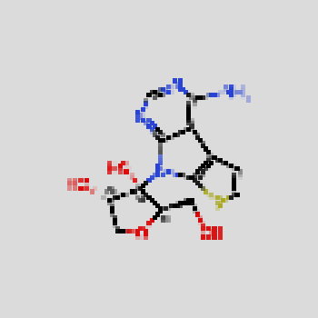 Nc1ncnc2c1c1ccsc1n2[C@]1(O)[C@@H](O)CO[C@@H]1CO